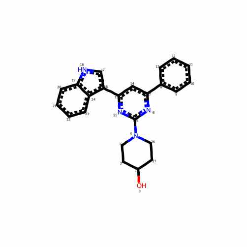 OC1CCN(c2nc(-c3ccccc3)cc(-c3c[nH]c4ccccc34)n2)CC1